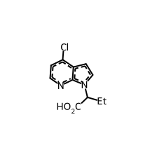 CCC(C(=O)O)n1ccc2c(Cl)ccnc21